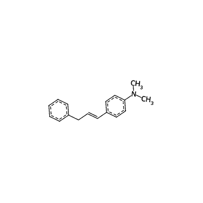 CN(C)c1ccc(C=CCc2ccccc2)cc1